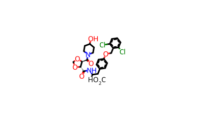 O=C(O)C(Cc1ccc(OCc2c(Cl)cccc2Cl)cc1)NC(=O)[C@@H]1OCO[C@H]1C(=O)N1CCC(O)CC1